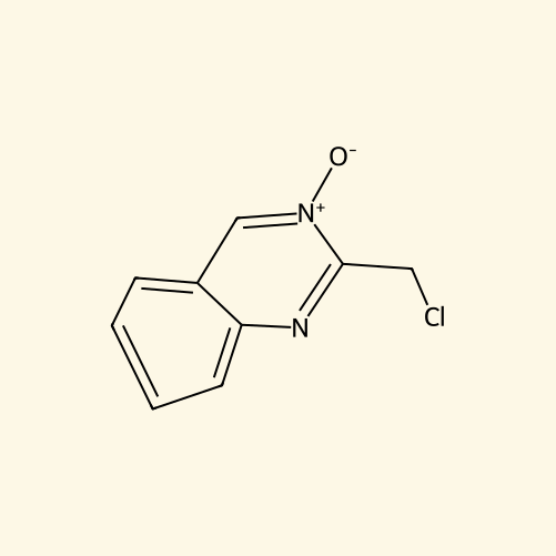 [O-][n+]1cc2ccccc2nc1CCl